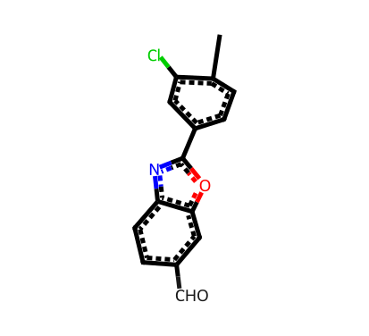 Cc1ccc(-c2nc3ccc(C=O)cc3o2)cc1Cl